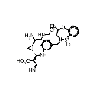 CC[C@@H]1CN(Cc2cccc(N/C(=C(\C=N)C(=O)O)[C@@H]3CC3/C(N)=C/NCC(F)(F)F)c2)[S+]([O-])c2ccccc2O1